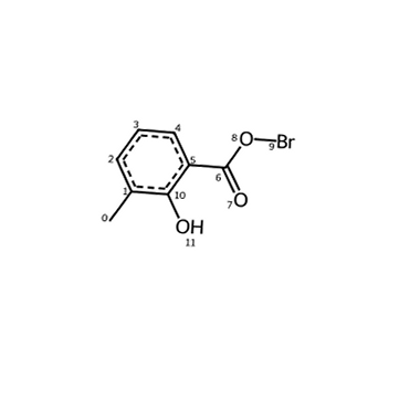 Cc1cccc(C(=O)OBr)c1O